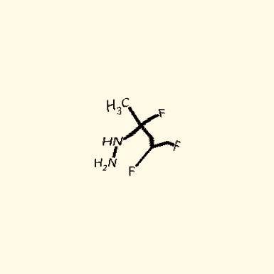 CC(F)(NN)C(F)F